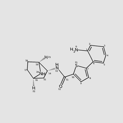 Nc1ccccc1-c1ccc(C(=O)N[C@@H]2C[C@H]3CC[C@@H]2N3)s1